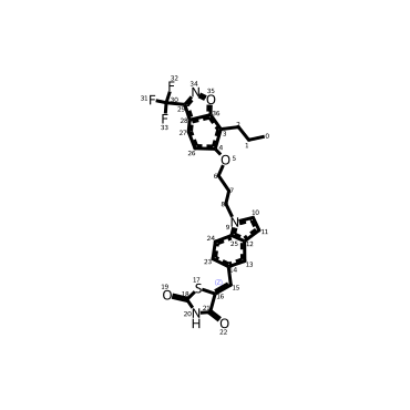 CCCc1c(OCCCn2ccc3cc(/C=C4\SC(=O)NC4=O)ccc32)ccc2c(C(F)(F)F)noc12